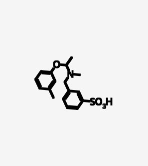 Cc1cccc(OC(C)N(C)Cc2cccc(S(=O)(=O)O)c2)c1